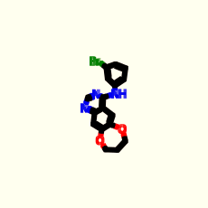 Brc1cccc(Nc2ncnc3cc4c(cc23)OCCCO4)c1